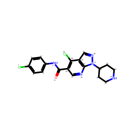 O=C(Nc1ccc(Cl)cc1)c1cnc2c(cnn2C2CCNCC2)c1Cl